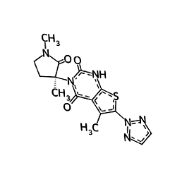 Cc1c(-n2nccn2)sc2[nH]c(=O)n([C@@]3(C)CCN(C)C3=O)c(=O)c12